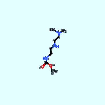 CCN(CC)CCNCCNC(=O)OC(C)(C)C